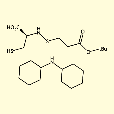 C1CCC(NC2CCCCC2)CC1.CC(C)(C)OC(=O)CCSN[C@@H](CS)C(=O)O